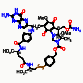 COC1=C(C)C(=O)C2=C(C1=O)[C@@H](COC(N)=O)[C@@]1(OC)[C@H](C)N(C(=O)OCc3ccc(SSC[C@H](NC(=O)CC[C@H](NC(=O)c4ccc(NCc5cnc6nc(N)[nH]c(=O)c6n5)cc4)C(=O)O)C(=O)O)cc3)CN21